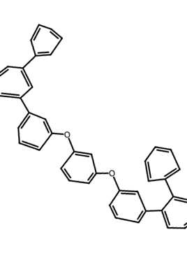 c1ccc(-c2cccc(-c3cccc(Oc4cccc(Oc5cccc(-c6ccccc6-c6ccccc6)c5)c4)c3)c2)cc1